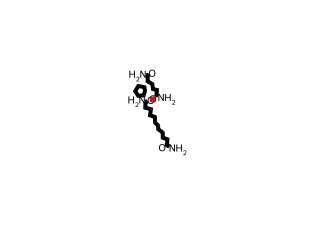 C1CCCCC1.NC(=O)CCCCC(N)=O.NC(=O)CCCCCCCCCCC(N)=O